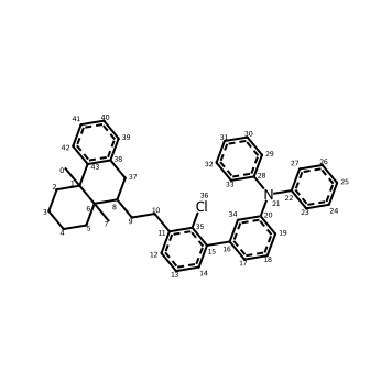 CC12CCCCC1(C)C(CCc1cccc(-c3cccc(N(c4ccccc4)c4ccccc4)c3)c1Cl)Cc1ccccc12